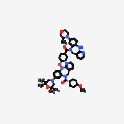 CO[C@H]1CC[C@H](C(=O)N2Cc3cccnc3N(O[C@H]3CC[C@H](C(=O)N4Cc5cccnc5Nc5ccc(N6CCOCC6C)cc54)CC3)c3ccc(N4CC(C)(C)OC(C)(C)C4)cc32)CC1